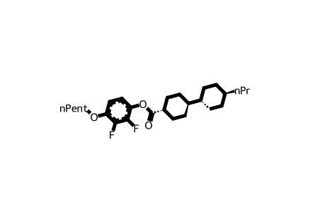 CCCCCOc1ccc(OC(=O)[C@H]2CC[C@H]([C@H]3CC[C@H](CCC)CC3)CC2)c(F)c1F